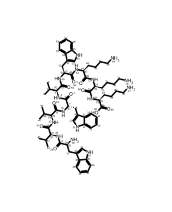 CC(C)[C@H](NC(=O)[C@H](Cc1c[nH]c2ccccc12)NC(=O)[C@@H](NC(=O)[C@@H](NC(=O)[C@@H](N)Cc1c[nH]c2ccccc12)C(C)C)C(C)C)C(=O)N[C@@H](Cc1c[nH]c2ccccc12)C(=O)N[C@@H](CCCCN)C(=O)N[C@@H](CCCCN)C(=O)N[C@@H](CCCCN)C(=O)O